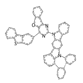 c1ccc2c(c1)-c1ccccc1-n1c3cc4c5ccccc5n(-c5nc(-c6ccc7sc8ccccc8c7c6)c6oc7ccccc7c6n5)c4cc3c3cccc-2c31